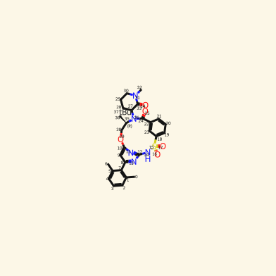 Cc1cccc(C)c1-c1cc2nc(n1)NS(=O)(=O)c1cccc(c1)C(=O)N(C1CCCN(C)C1=O)[C@H](CC(C)(C)C)CO2